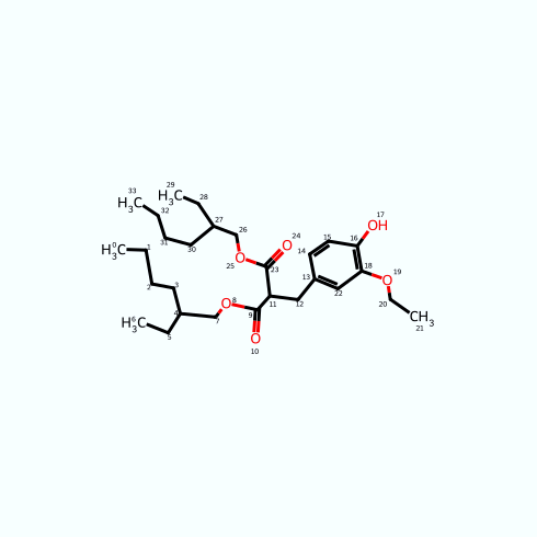 CCCCC(CC)COC(=O)C(Cc1ccc(O)c(OCC)c1)C(=O)OCC(CC)CCCC